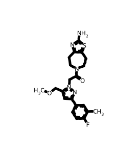 COCc1cc(-c2ccc(F)c(C)c2)nn1CC(=O)N1CCc2nc(N)sc2CC1